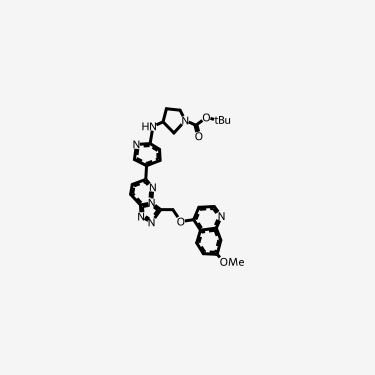 COc1ccc2c(OCc3nnc4ccc(-c5ccc(NC6CCN(C(=O)OC(C)(C)C)C6)nc5)nn34)ccnc2c1